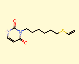 C=CSCCCCCCn1c(=O)cc[nH]c1=O